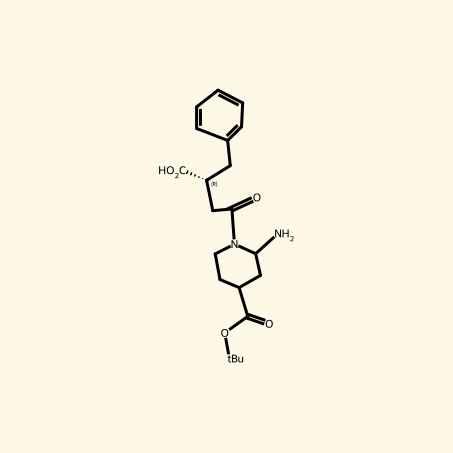 CC(C)(C)OC(=O)C1CCN(C(=O)C[C@@H](Cc2ccccc2)C(=O)O)C(N)C1